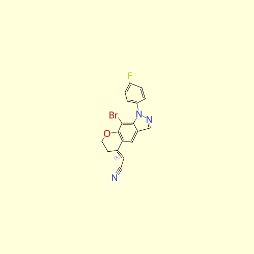 N#C/C=C1\CCOc2c1cc1cnn(-c3ccc(F)cc3)c1c2Br